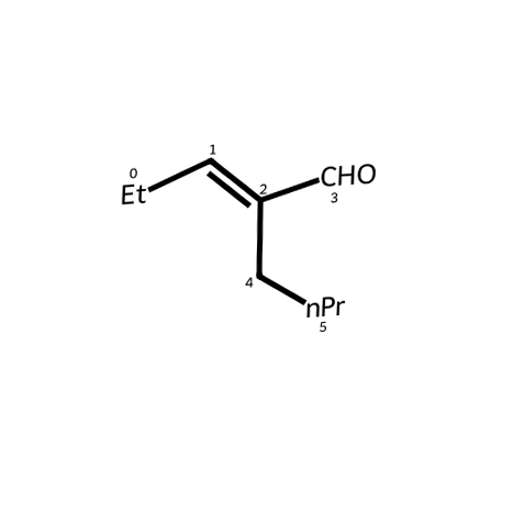 CC/C=C(/C=O)CCCC